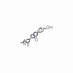 Cc1cn2cc(C3=C\C(=O)N4C=C(N5CCN(CCO)[C@@H](C)C5)C=C\C4=C/C=C/3)cc(F)c2n1